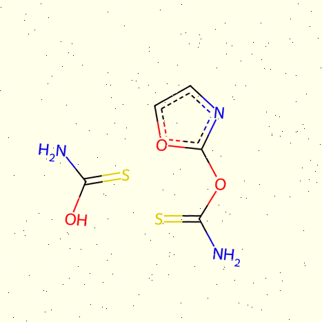 NC(=S)Oc1ncco1.NC(O)=S